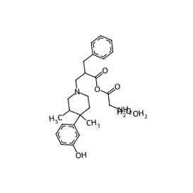 CC1CN(CC(Cc2ccccc2)C(=O)OC(=O)CN)CCC1(C)c1cccc(O)c1.O.O